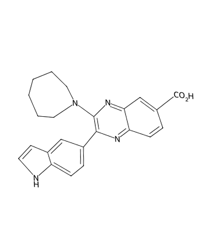 O=C(O)c1ccc2nc(-c3ccc4[nH]ccc4c3)c(N3CCCCCC3)nc2c1